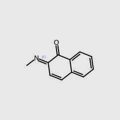 C/N=C1\C=Cc2ccccc2C1=O